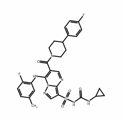 Cc1ccc(F)c(Nc2c(C(=O)N3CCC(c4ccc(F)cc4)CC3)cnc3c(S(=O)(=O)NC(=O)NC4CC4)cnn23)c1